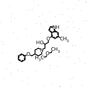 CCOCC.Cc1cc(OCC(O)CN2CCC(COc3ccccc3)CC2)c2cc[nH]c2c1